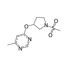 Cc1cc(OC2CCN(S(C)(=O)=O)C2)ncn1